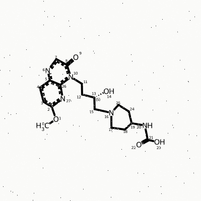 COc1ccc2ncc(=O)n(CC[C@H](O)CN3CCC(NC(=O)O)CC3)c2n1